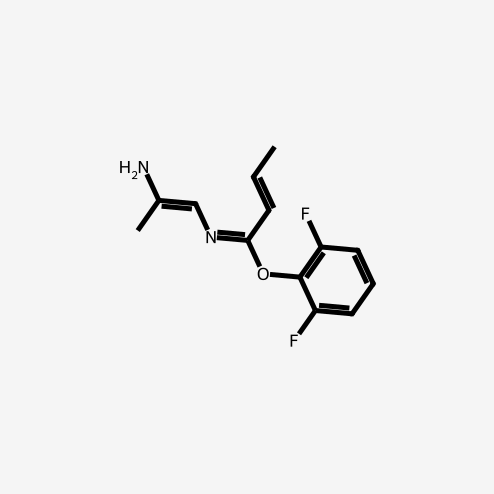 C/C=C/C(=N\C=C(/C)N)Oc1c(F)cccc1F